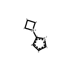 c1csc(N2CCC2)c1